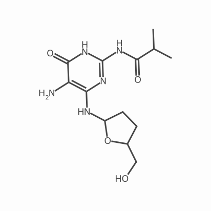 CC(C)C(=O)Nc1nc(NC2CCC(CO)O2)c(N)c(=O)[nH]1